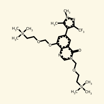 Cc1c(-c2cc(OCOCC[Si](C)(C)C)c3ncn(COCC[Si](C)(C)C)c(=O)c3c2)c(C(F)(F)F)nn1C